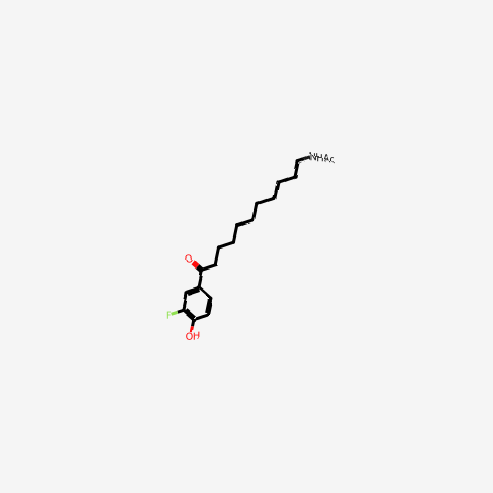 CC(=O)NCCCCCCCCCCC(=O)c1ccc(O)c(F)c1